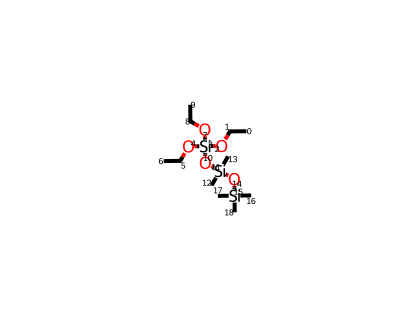 CCO[Si](OCC)(OCC)O[Si](C)(C)O[Si](C)(C)C